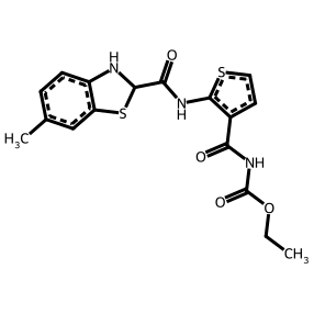 CCOC(=O)NC(=O)c1ccsc1NC(=O)C1Nc2ccc(C)cc2S1